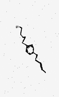 CCCCCc1ccc(CCCCBr)cc1